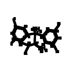 Cc1cc(C)cc(C(N)(c2cc(C)cc(C)c2)C(N)C(C)C)c1